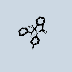 O=C1c2ccccc2C(O)(C(c2ccccc2)C(F)(F)F)N1c1ccc(F)cc1